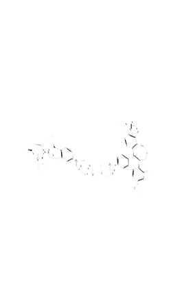 O=C1CC[C@H](N2Cc3cc(N4CCN(CC5CCN(c6ccc(C7=C(c8ccc(Cl)cc8Cl)CCCc8c7ccc7[nH]ncc87)cc6)CC5)CC4)ccc3C2=O)C(=O)N1